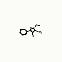 CCn1nc(-c2ccccc2)c(Cl)c1N